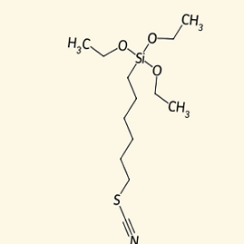 CCO[Si](CCCCCCSC#N)(OCC)OCC